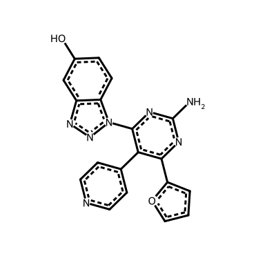 Nc1nc(-c2ccco2)c(-c2ccncc2)c(-n2nnc3cc(O)ccc32)n1